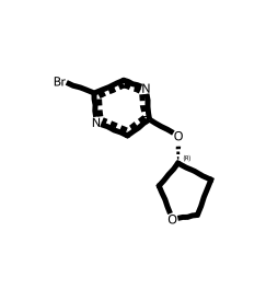 Brc1cnc(O[C@@H]2CCOC2)cn1